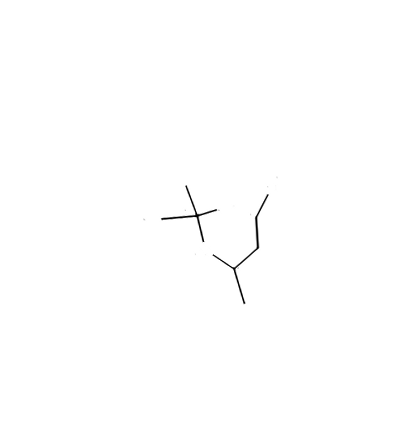 CC(CCO)OC(F)(F)F